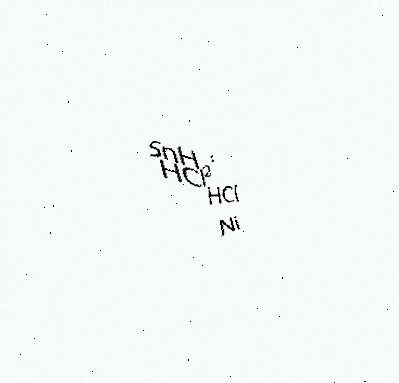 Cl.Cl.[Ni].[SnH2]